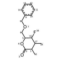 CC1C(=O)OC(COCc2ccccc2)C(F)C1C